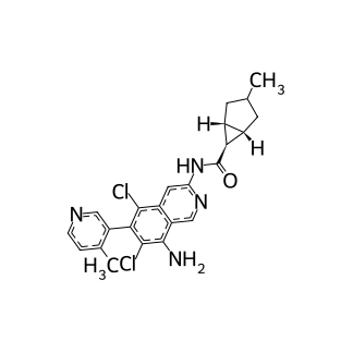 Cc1ccncc1-c1c(Cl)c(N)c2cnc(NC(=O)[C@H]3[C@@H]4CC(C)C[C@@H]43)cc2c1Cl